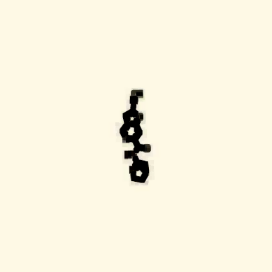 C#Cc1cc2cnc(C(=O)NC3CC4CCN3C4)cc2o1